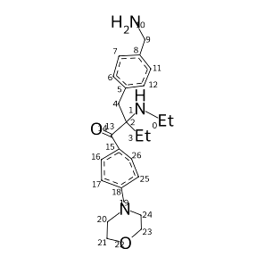 CCNC(CC)(Cc1ccc(CN)cc1)C(=O)c1ccc(N2CCOCC2)cc1